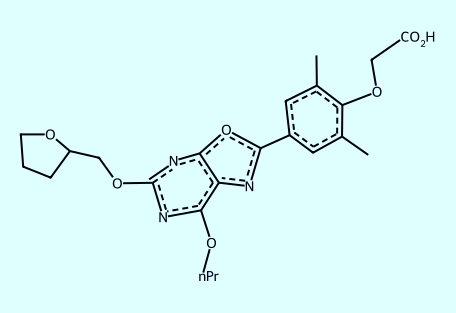 CCCOc1nc(OCC2CCCO2)nc2oc(-c3cc(C)c(OCC(=O)O)c(C)c3)nc12